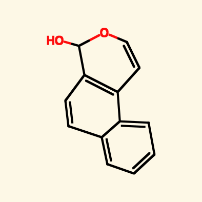 OC1OC=Cc2c1ccc1ccccc21